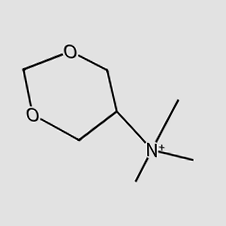 C[N+](C)(C)C1COCOC1